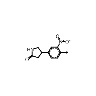 O=C1CC(c2ccc(F)c([N+](=O)[O-])c2)CN1